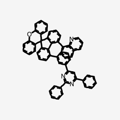 c1ccc(-c2cc(-c3cccc(-c4cccc5c4-c4c(-c6cccc7cccnc67)cccc4C54c5ccccc5Oc5ccccc54)c3)nc(-c3ccccc3)n2)cc1